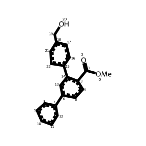 COC(=O)c1ccc(-c2ccccc2)cc1-c1ccc(CO)cc1